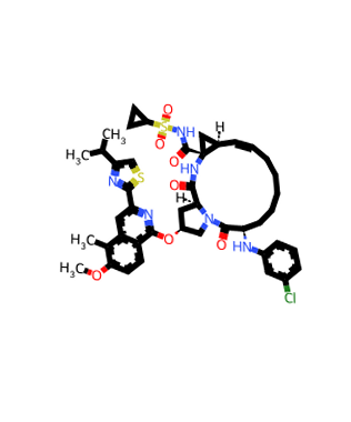 COc1ccc2c(O[C@@H]3C[C@H]4C(=O)N[C@]5(C(=O)NS(=O)(=O)C6CC6)C[C@H]5/C=C\CCCCC[C@H](Nc5cccc(Cl)c5)C(=O)N4C3)nc(-c3nc(C(C)C)cs3)cc2c1C